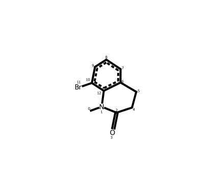 CN1C(=O)CCc2cccc(Br)c21